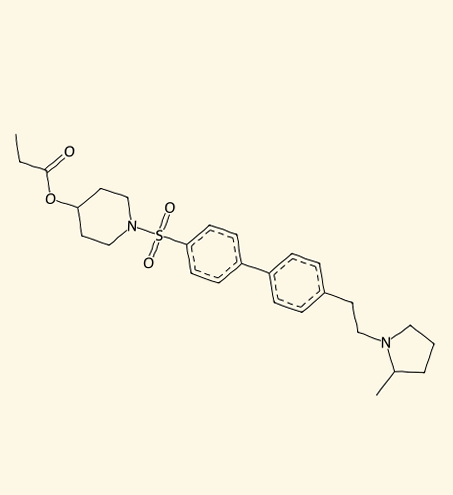 CCC(=O)OC1CCN(S(=O)(=O)c2ccc(-c3ccc(CCN4CCCC4C)cc3)cc2)CC1